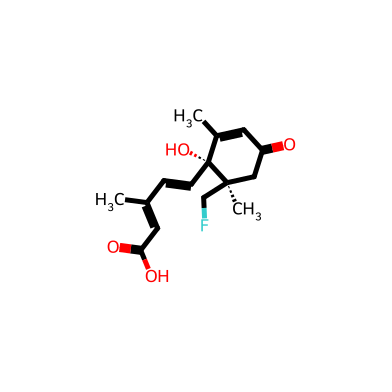 CC(C=C[C@@]1(O)C(C)=CC(=O)C[C@@]1(C)CF)=CC(=O)O